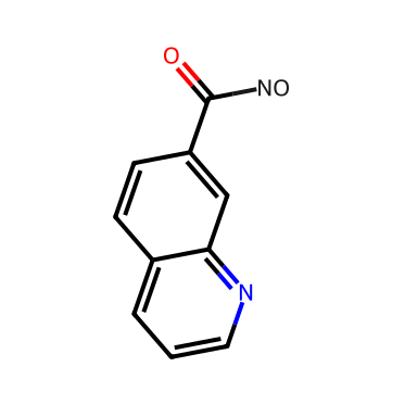 O=NC(=O)c1ccc2cccnc2c1